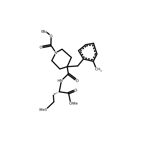 COC(=O)[C@H](CCSC)NC(=O)C1(Cc2ccccc2C)CCN(C(=O)OC(C)(C)C)CC1